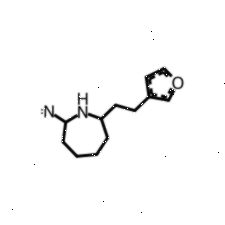 [N]C1CCCCC(CCc2ccoc2)N1